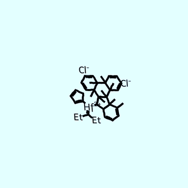 CC[C](CC)=[Hf+2]([C]1=CC=CC1)[CH]1C2C=CC=C(C)C2(C)C2(C)C3(C)C=CC=CC3(C)C3(C)C=CC=CC3(C)C12C.[Cl-].[Cl-]